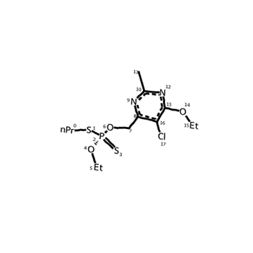 CCCS[P@@](=S)(OCC)OCc1nc(C)nc(OCC)c1Cl